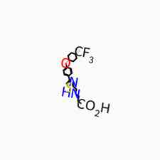 O=C(O)CCNCc1nc(-c2ccc(O[C@H]3CC[C@@H](C(F)(F)F)CC3)cc2)cs1